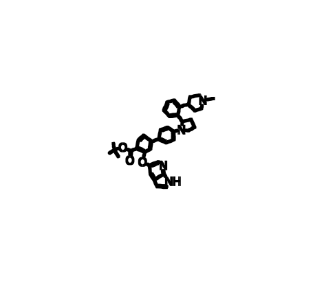 CN1CCC(c2ccccc2C2CCCN2c2ccc(-c3ccc(C(=O)OC(C)(C)C)c(Oc4cnc5[nH]ccc5c4)c3)cc2)CC1